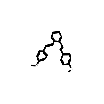 COc1ccc(C=Cc2ccccc2C=Cc2ccc(OC)cc2)cc1